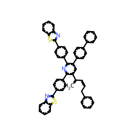 C=C(/C=C\Cc1ccccc1)c1cc(-c2ccc(-c3ccccc3)cc2)c(-c2ccc(-c3nc4ccccc4s3)cc2)nc1-c1ccc(-c2nc3ccccc3s2)cc1